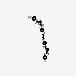 O=C(Oc1ccc(O)cc1)c1ccc(C(=O)Oc2ccc(OCCCCOc3ccc(OC(=O)c4ccc(C(=O)Oc5ccc(O)cc5)o4)cc3)cc2)o1